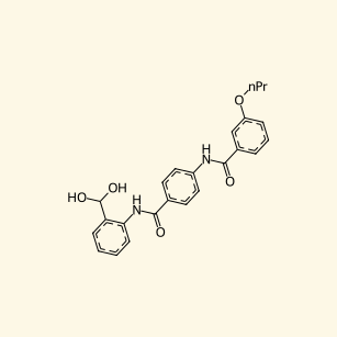 CCCOc1cccc(C(=O)Nc2ccc(C(=O)Nc3ccccc3C(O)O)cc2)c1